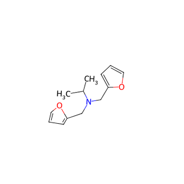 CC(C)N(Cc1ccco1)Cc1ccco1